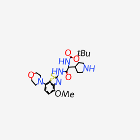 COc1ccc(N2CCOCC2)c2sc(NC(=O)C(NC(=O)OC(C)(C)C)C3CCNCC3)nc12